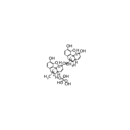 CN1CC[C@]23c4c5ccc(O)c4O[C@H]2[C@@H](O)C=C[C@H]3[C@H]1C5.CN1CC[C@]23c4c5ccc(O)c4O[C@H]2[C@@H](O)C=C[C@H]3[C@H]1C5.Cl.O=S(=O)(O)O